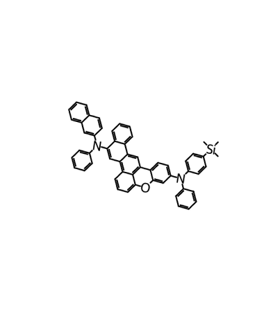 C[Si](C)(C)c1ccc(N(c2ccccc2)c2ccc3c(c2)Oc2cccc4c2c-3cc2c3ccccc3c(N(c3ccccc3)c3ccc5ccccc5c3)cc42)cc1